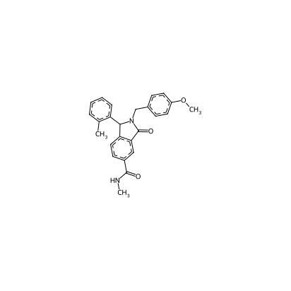 CNC(=O)c1ccc2c(c1)C(=O)N(Cc1ccc(OC)cc1)C2c1ccccc1C